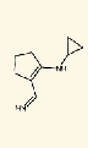 N=CC1=C(NC2CC2)CCC1